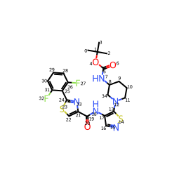 CC(C)(C)OC(=O)NC1CCCN(c2sncc2NC(=O)c2csc(-c3c(F)cccc3F)n2)C1